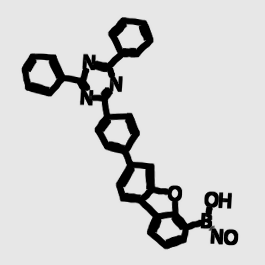 O=NB(O)c1cccc2c1oc1cc(-c3ccc(-c4nc(-c5ccccc5)nc(-c5ccccc5)n4)cc3)ccc12